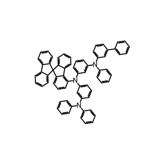 c1ccc(-c2cccc(N(c3ccccc3)c3cccc(N(c4cccc(N(c5ccccc5)c5ccccc5)c4)c4cccc5c4-c4ccccc4C54c5ccccc5-c5ccccc54)c3)c2)cc1